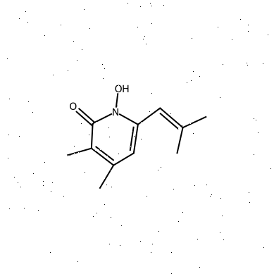 CC(C)=Cc1cc(C)c(C)c(=O)n1O